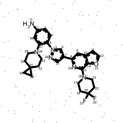 Nc1ccc(-n2cc(-c3cc4ccoc4c(N4CCC(F)(F)CC4)n3)cn2)c(N2CCC3(CC2)CC3)c1